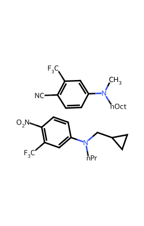 CCCCCCCCN(C)c1ccc(C#N)c(C(F)(F)F)c1.CCCN(CC1CC1)c1ccc([N+](=O)[O-])c(C(F)(F)F)c1